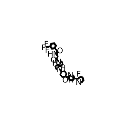 O=C(NCC(=O)N1CC[C@@H]2[C@H]1CCN2C1CCC(O)(c2ccc(-c3ncccc3F)cn2)CC1)c1cccc(C(F)(F)F)c1